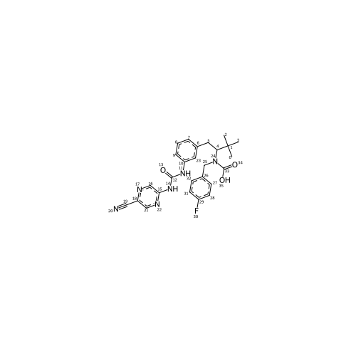 CC(C)(C)C(Cc1cccc(NC(=O)Nc2cnc(C#N)cn2)c1)N(Cc1ccc(F)cc1)C(=O)O